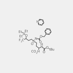 CC[Si](CC)(CC)OC(CC[S@](=O)(CCC(NC(=O)OC(C)(C)C)C(=O)O)=NC(=O)OCc1ccccc1)C(F)(F)F.c1ccncc1